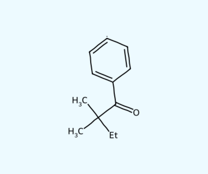 CCC(C)(C)C(=O)c1cc[c]cc1